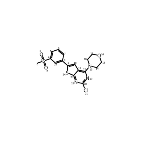 CS(=O)(=O)c1cccc(-c2cc3c(N4CCOCC4)nc(Cl)nc3s2)c1